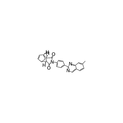 Cc1ccc2cnc(-c3ccc(N4C(=O)[C@@H]5[C@H](C4=O)C4C=C[C@H]5C4)cc3)nc2c1